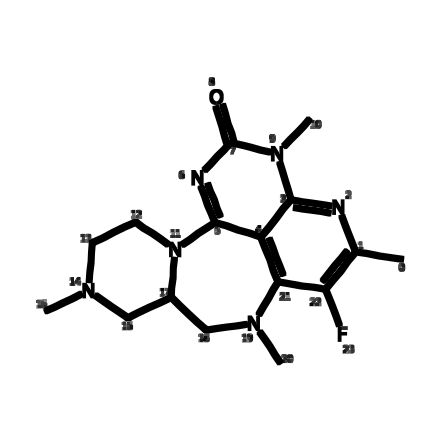 Cc1nc2c3c(nc(=O)n2C)N2CCN(C)CC2CN(C)c3c1F